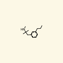 CCCc1cccc(CC(C)(C)NC)c1